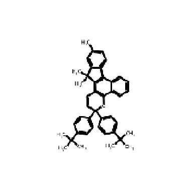 Cc1ccc2c(c1)C(C)(C)c1c3c(c4ccccc4c1-2)OC(c1ccc(C(C)(C)C)cc1)(c1ccc(C(C)(C)C)cc1)C=C3